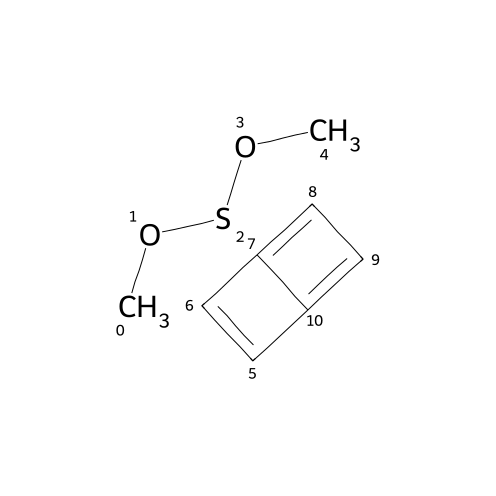 COSOC.c1cc2ccc1-2